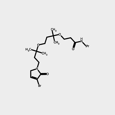 CC(C)NC(=O)CCOC(C)(C)CCOC(C)(C)CCN1CC=C(Br)C1=O